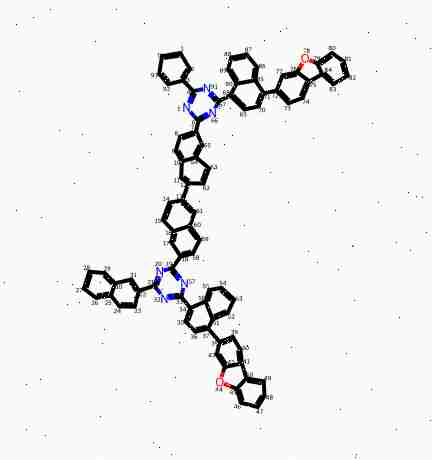 c1ccc(-c2nc(-c3ccc4cc(-c5ccc6cc(-c7nc(-c8ccc9ccccc9c8)nc(-c8ccc(-c9ccc%10c(c9)oc9ccccc9%10)c9ccccc89)n7)ccc6c5)ccc4c3)nc(-c3ccc(-c4ccc5c(c4)oc4ccccc45)c4ccccc34)n2)cc1